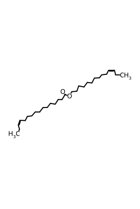 CC/C=C\CCCCCCCCCCCC(=O)OCCCCCCCCCC/C=C\CC